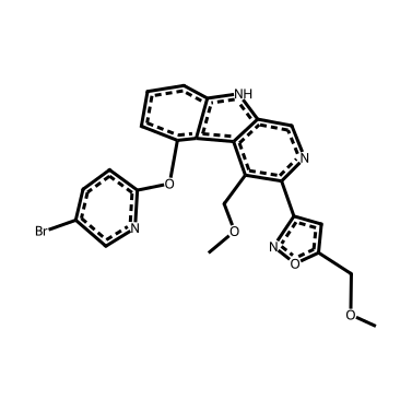 COCc1cc(-c2ncc3[nH]c4cccc(Oc5ccc(Br)cn5)c4c3c2COC)no1